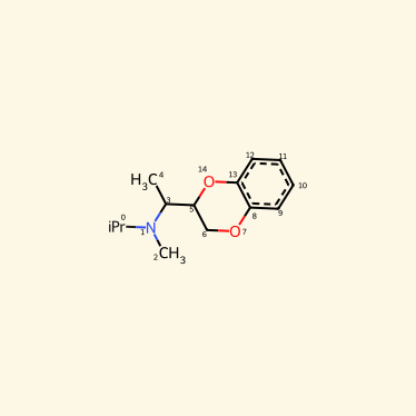 CC(C)N(C)C(C)C1COc2ccccc2O1